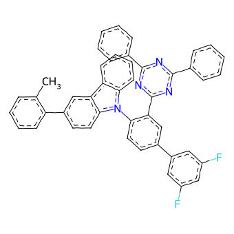 Cc1ccccc1-c1ccc2c(c1)c1ccccc1n2-c1ccc(-c2cc(F)cc(F)c2)cc1-c1nc(-c2ccccc2)nc(-c2ccccc2)n1